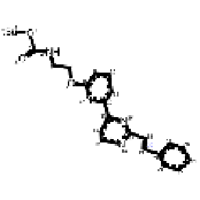 CC(C)(C)OC(=O)NCCOc1cccc(-c2ccnc(/C=C/c3ccccc3)n2)n1